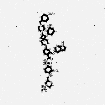 COc1ccc(CN2CCN(C3CC4(CCN(c5ccc(C(=O)NS(=O)(=O)c6ccc(NCC7CN(S(C)(=O)=O)CCO7)c([N+](=O)[O-])c6)c(Oc6cnc7[nH]ccc7c6)c5)CC4)C3)[C@@H](c3ccccc3C(C)C)C2)cc1